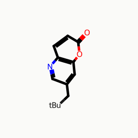 CC(C)(C)Cc1cnc2ccc(=O)oc2c1